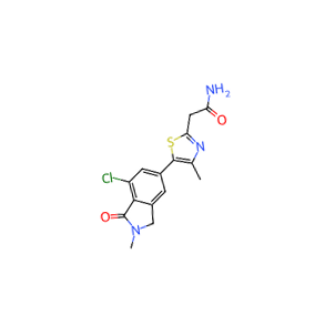 Cc1nc(CC(N)=O)sc1-c1cc(Cl)c2c(c1)CN(C)C2=O